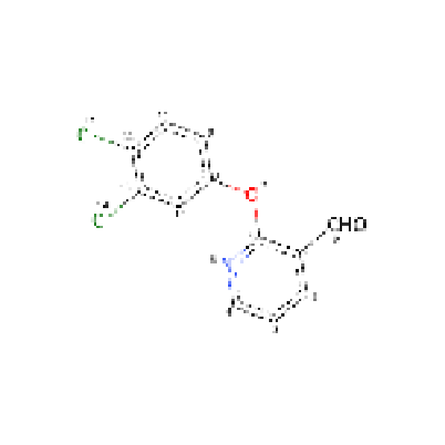 O=Cc1cccnc1Oc1ccc(Cl)c(Cl)c1